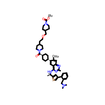 COc1cc2nc(C)nc(N[C@H](C)c3cc(-c4ccccc4CN(C)C)cs3)c2cc1[C@H]1CC[C@H](C(=O)N2CCC(CCOCC3CCN(C(=O)OC(C)(C)C)CC3)CC2)CC1